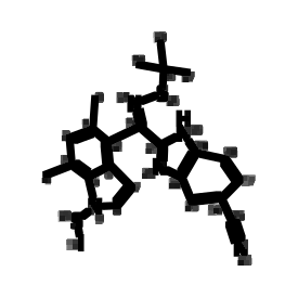 Cc1cc(C)c2c(ccn2SI)c1C(=NSC(C)(C)C)c1nc2cc(C#N)ccc2[nH]1